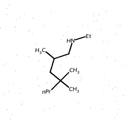 CCCC(C)(C)CC(C)CNCC